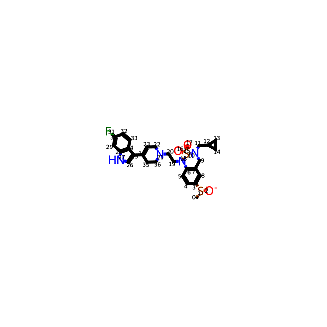 C[S+]([O-])c1ccc2c(c1)CN(CC1CC1)S(=O)(=O)N2CCN1CC=C(c2c[nH]c3cc(F)ccc23)CC1